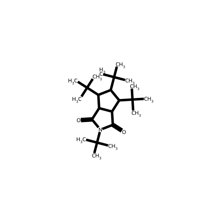 CC(C)(C)C1C2C(=O)N(C(C)(C)C)C(=O)C2C(C(C)(C)C)C1C(C)(C)C